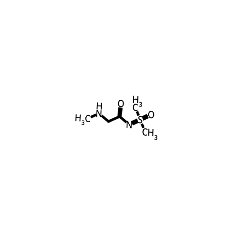 CNCC(=O)N=S(C)(C)=O